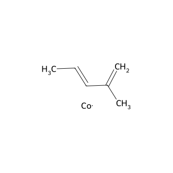 C=C(C)/C=C/C.[Co]